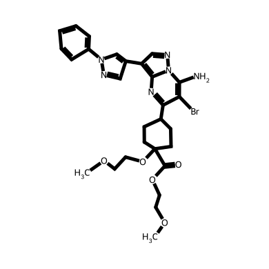 COCCOC(=O)C1(OCCOC)CCC(c2nc3c(-c4cnn(-c5ccccc5)c4)cnn3c(N)c2Br)CC1